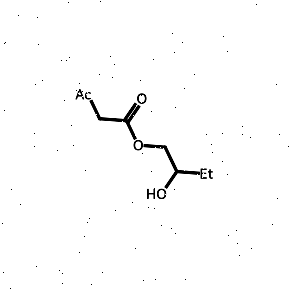 CCC(O)COC(=O)CC(C)=O